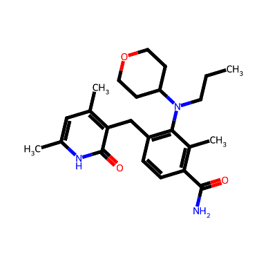 CCCN(c1c(Cc2c(C)cc(C)[nH]c2=O)ccc(C(N)=O)c1C)C1CCOCC1